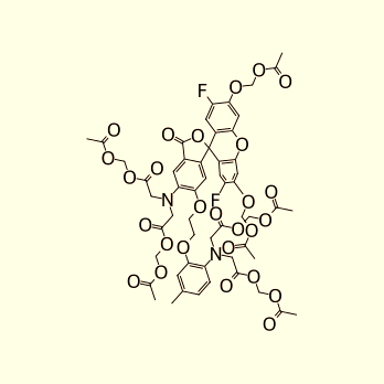 CC(=O)OCOC(=O)CN(CC(=O)OCOC(C)=O)c1ccc(C)cc1OCCOc1cc2c(cc1N(CC(=O)OCOC(C)=O)CC(=O)OCOC(C)=O)C(=O)OC21c2cc(F)c(OCOC(C)=O)cc2Oc2cc(OCOC(C)=O)c(F)cc21